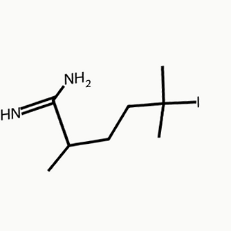 CC(CCC(C)(C)I)C(=N)N